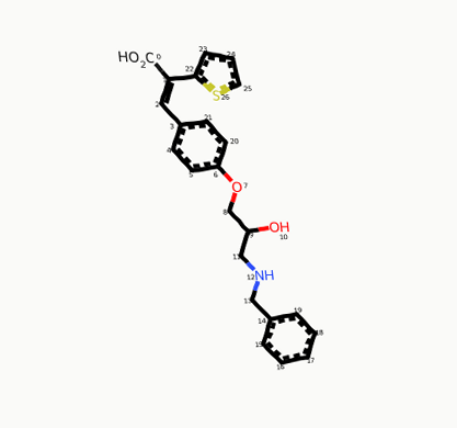 O=C(O)C(=Cc1ccc(OCC(O)CNCc2ccccc2)cc1)c1cccs1